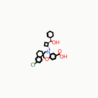 O=C(O)c1ccc2c(c1)N(C[C@@H]1CC[C@H]1C(O)[C@H]1C=CCCC1)CC1(CCCc3cc(Cl)ccc31)CO2